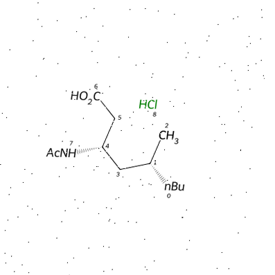 CCCC[C@@H](C)C[C@@H](CC(=O)O)NC(C)=O.Cl